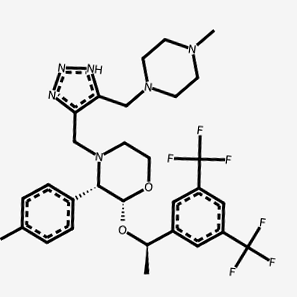 C[C@@H](O[C@H]1OCCN(Cc2nn[nH]c2CN2CCN(C)CC2)[C@H]1c1ccc(F)cc1)c1cc(C(F)(F)F)cc(C(F)(F)F)c1